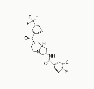 O=C(N[C@H]1C[C@H]2CN(C(=O)c3cccc(C(F)(F)F)c3)CCN2C1)c1ccc(F)c(Cl)c1